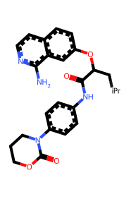 CC(C)CC(Oc1ccc2ccnc(N)c2c1)C(=O)Nc1ccc(N2CCCOC2=O)cc1